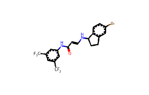 O=C(C=CNC1CCc2cc(Br)ccc21)Nc1cc(C(F)(F)F)cc(C(F)(F)F)c1